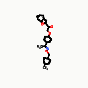 C/C(=N\OCc1ccc(C(F)(F)F)cc1)c1ccc(OCC(=O)c2cc3ccccc3o2)cc1